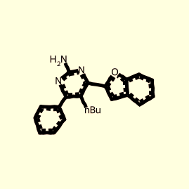 CCCCc1c(-c2ccccc2)nc(N)nc1-c1cc2ccccc2o1